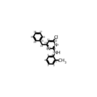 Cc1ccccc1Nc1nc(Cl)cc(Cc2ccccc2)n1